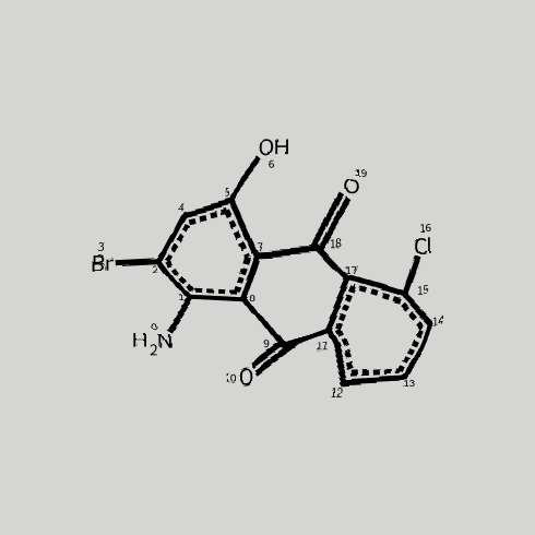 Nc1c(Br)cc(O)c2c1C(=O)c1cccc(Cl)c1C2=O